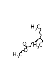 CCCCC(C=CCCC(=O)OCC)CC